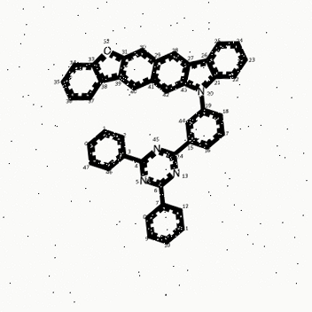 c1ccc(-c2nc(-c3ccccc3)nc(-c3cccc(-n4c5ccccc5c5cc6cc7oc8ccccc8c7cc6cc54)c3)n2)cc1